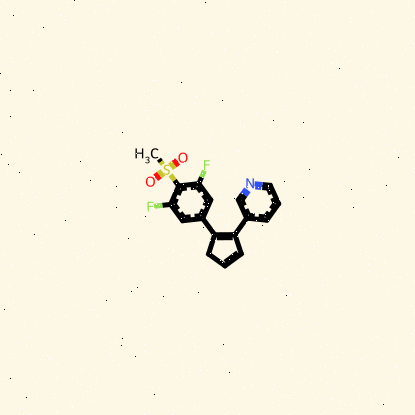 CS(=O)(=O)c1c(F)cc(C2=C(c3cccnc3)C=CC2)cc1F